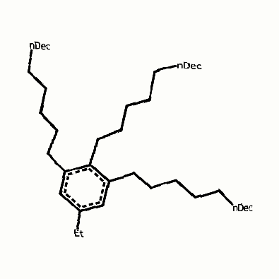 CCCCCCCCCCCCCCCc1cc(CC)cc(CCCCCCCCCCCCCCC)c1CCCCCCCCCCCCCCC